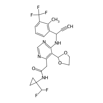 C#CC(Nc1ncnc(CC(=O)NC2(C(F)F)CC2)c1C1OCCO1)c1cccc(C(F)(F)F)c1C